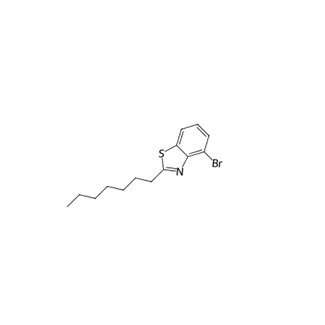 CCCCCCCc1nc2c(Br)cccc2s1